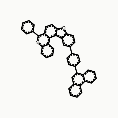 c1ccc(-c2nc3ccccc3c3c2ccc2oc4ccc(-c5ccc(-c6cc7ccccc7c7ccccc67)cc5)cc4c23)cc1